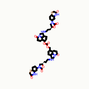 O=C1CSc2ccc(N3C[C@H](CCCN[C@H]4Cn5c(=O)ccc6c(COC(=O)Oc7ccc8c9c7ccc(=O)n9C[C@@H]8NCCC[C@H]7CN(c8ccc9c(c8)NC(=O)CS9)C(=O)O7)ccc4c65)OC3=O)cc2N1